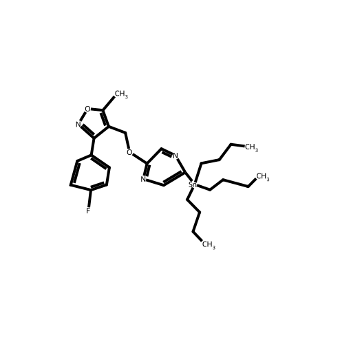 CCC[CH2][Sn]([CH2]CCC)([CH2]CCC)[c]1cnc(OCc2c(-c3ccc(F)cc3)noc2C)cn1